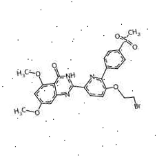 COc1cc(OC)c2c(=O)[nH]c(-c3ccc(OCCBr)c(-c4ccc(S(C)(=O)=O)cc4)n3)nc2c1